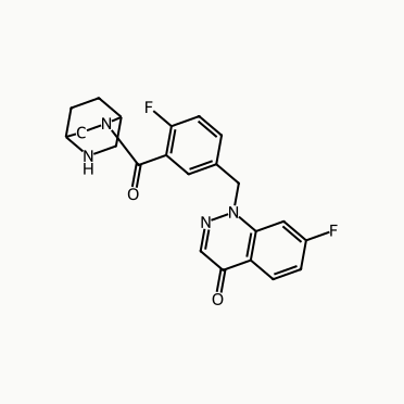 O=C(c1cc(Cn2ncc(=O)c3ccc(F)cc32)ccc1F)N1CC2CCC1CN2